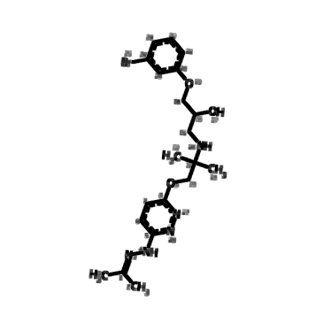 CC(C)=NNc1ccc(OCC(C)(C)NCC(O)COc2cccc(Br)c2)nn1